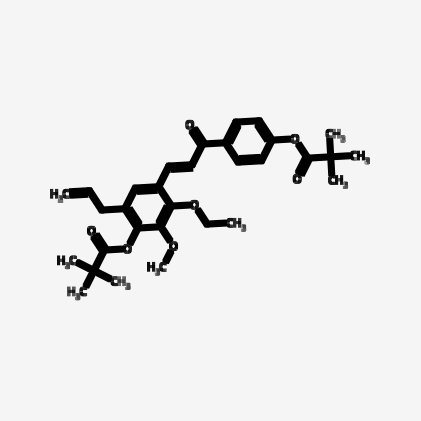 C=CCc1cc(C=CC(=O)c2ccc(OC(=O)C(C)(C)C)cc2)c(OCC)c(OC)c1OC(=O)C(C)(C)C